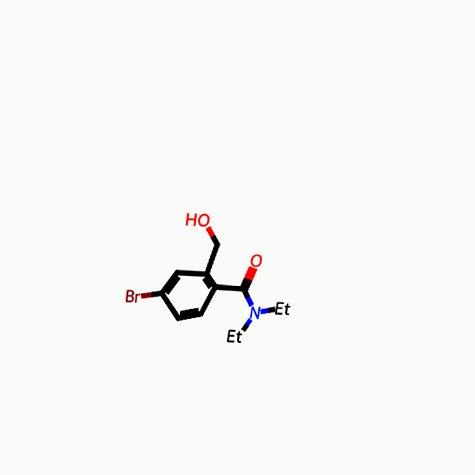 CCN(CC)C(=O)c1ccc(Br)cc1CO